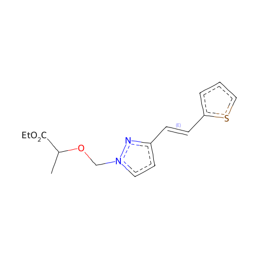 CCOC(=O)C(C)OCn1ccc(/C=C/c2cccs2)n1